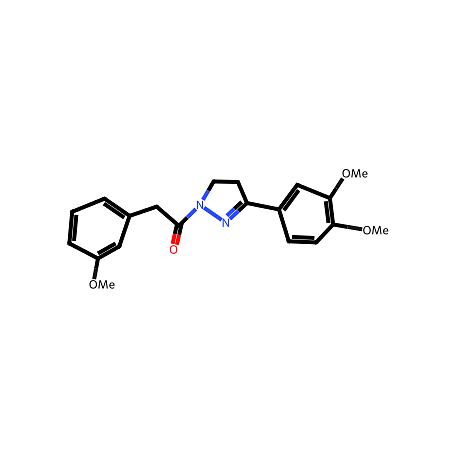 COc1cccc(CC(=O)N2CCC(c3ccc(OC)c(OC)c3)=N2)c1